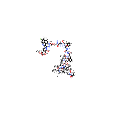 CC[C@H](C)[C@@H]([C@@H](CC(=O)N1CCC[C@H]1[C@H](OC)[C@@H](C)C(=O)N[C@@H](Cc1ccccc1)C(=O)NCC(=O)NCC(=O)N[C@H](Cc1ccccc1)C(=O)NCC(=O)NCOCC(=O)NC1CCc2c(C)c(F)cc3nc4c(c1c23)Cn1c-4cc2c(c1=O)COC(=O)[C@@]2(O)CC)OC)N(C)C(=O)[C@@H](NC(=O)[C@H](C(C)C)N(C)C(=O)CCCCCN1C(=O)C=CC1=O)C(C)C